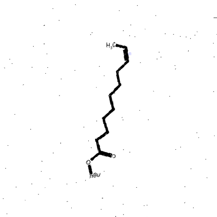 C/C=C\CCCCCCCC(=O)OCCCC